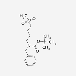 CC(C)(C)OC(=O)N(CCCCS(C)(=O)=O)Cc1ccccc1